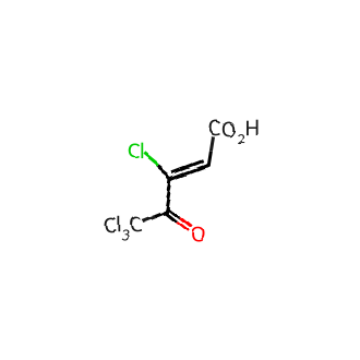 O=C(O)C=C(Cl)C(=O)C(Cl)(Cl)Cl